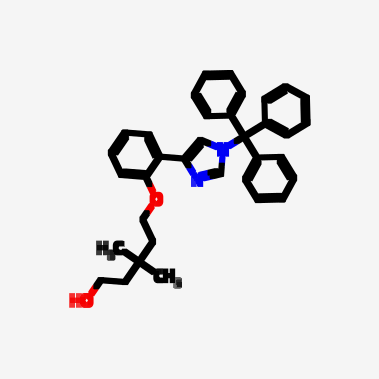 CC(C)(CCO)CCOc1ccccc1-c1cn(C(c2ccccc2)(c2ccccc2)c2ccccc2)cn1